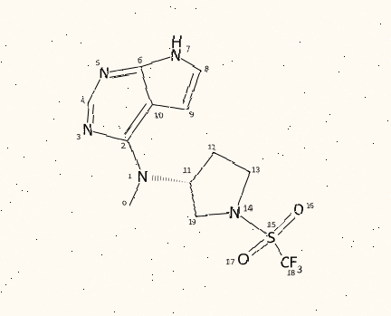 CN(c1ncnc2[nH]ccc12)[C@@H]1CCN(S(=O)(=O)C(F)(F)F)C1